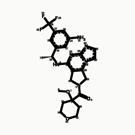 COC1(C(=O)N2Cc3c(N[C@H](C)c4cc(N)cc(C(F)(F)F)c4)nc4nccn4c3C2)CCOCC1